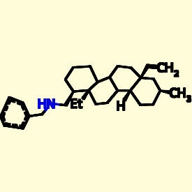 C=C[C@]12CCC3C(CC[C@@]4(CC)C3CCC[C@@H]4CNCc3ccccc3)[C@H]1CC[C@H](C)C2